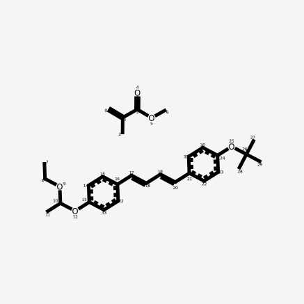 C=C(C)C(=O)OC.CCOC(C)Oc1ccc(C=CC=Cc2ccc(OC(C)(C)C)cc2)cc1